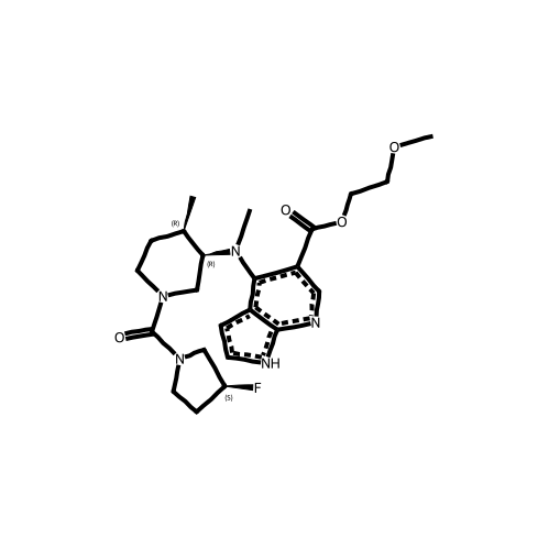 COCCOC(=O)c1cnc2[nH]ccc2c1N(C)[C@H]1CN(C(=O)N2CC[C@H](F)C2)CC[C@H]1C